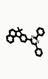 CC1(C)c2cc(-c3cc(-c4ccccc4)nc(-c4ccccc4)n3)ccc2-c2c1ccc1ccccc21